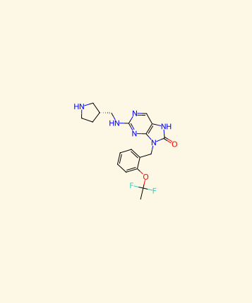 CC(F)(F)Oc1ccccc1Cn1c(=O)[nH]c2cnc(NC[C@@H]3CCNC3)nc21